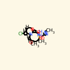 CCn1cc(C(=O)NS2(=O)=NC(=O)c3ccc4c(c3)N(Cc3ccc(Cl)cc3[C@H]3C[C@H]3CCO4)C[C@@H]3CC[C@H]3[C@@H](OC)/C=C/C[C@H](C)C2)cn1